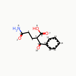 NC(=O)CCC(C(=O)O)C(=O)c1ccccc1